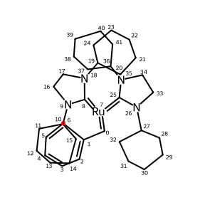 [CH](c1ccccc1)=[Ru](=[C]1N(C2CCCCC2)CCN1C1CCCCC1)=[C]1N(C2CCCCC2)CCN1C1CCCCC1